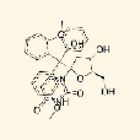 COc1cccc(C(c2ccccc2)(c2ccccc2OC)[C@@]2(n3ccc(=O)[nH]c3=O)O[C@H](CO)[C@@H](O)[C@H]2O)c1